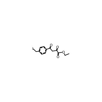 CCOC(=O)C(=O)CC(=O)c1ccc(CI)cc1